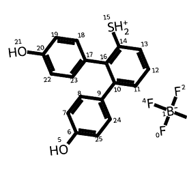 F[B-](F)(F)F.Oc1ccc(-c2cccc([SH2+])c2-c2ccc(O)cc2)cc1